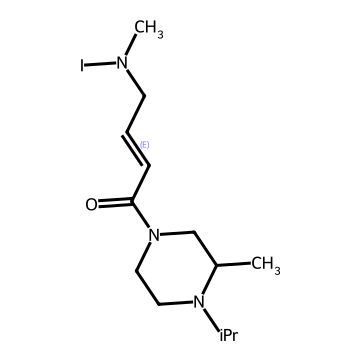 CC(C)N1CCN(C(=O)/C=C/CN(C)I)CC1C